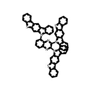 c1cc(-n2c3ccccc3c3cc4c(cc32)sc2ccccc24)c2nc(-n3c4ccccc4c4cc5c(cc43)sc3ccccc35)c(-n3c4ccccc4c4cc5c(cc43)sc3ccccc35)nc2c1